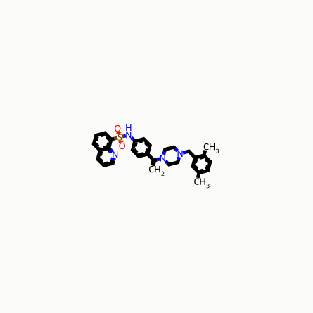 C=C(c1ccc(NS(=O)(=O)c2cccc3cccnc23)cc1)N1CCN(Cc2cc(C)ccc2C)CC1